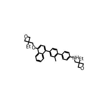 CCC1(CNc2ccc(-c3ccc(-c4ccc(OCC5(CC)COC5)c5ccccc45)cc3C)cc2)COC1